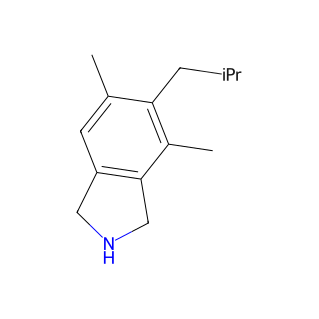 Cc1cc2c(c(C)c1CC(C)C)CNC2